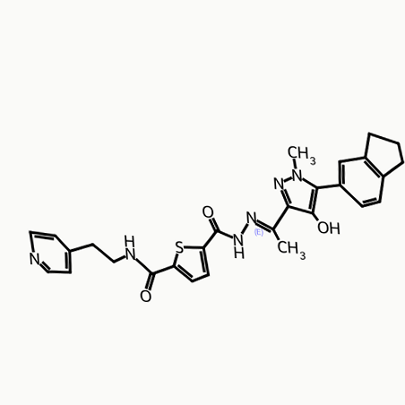 C/C(=N\NC(=O)c1ccc(C(=O)NCCc2ccncc2)s1)c1nn(C)c(-c2ccc3c(c2)CCC3)c1O